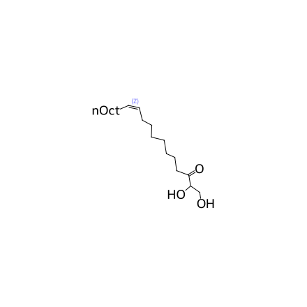 CCCCCCCC/C=C\CCCCCCCC(=O)C(O)CO